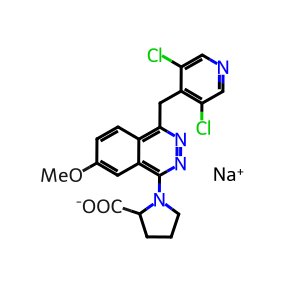 COc1ccc2c(Cc3c(Cl)cncc3Cl)nnc(N3CCCC3C(=O)[O-])c2c1.[Na+]